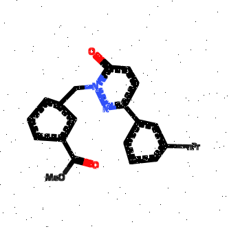 CCCc1cccc(-c2ccc(=O)n(Cc3cccc(C(=O)OC)c3)n2)c1